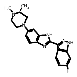 C[C@H]1CN(c2ccc3nc(-c4n[nH]c5cc(F)ccc45)[nH]c3c2)CCN1C